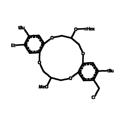 CCCCCCOC1COc2cc(C(C)(C)C)c(CC)cc2OCC(OC)COc2cc(CCl)c(C(C)(C)C)cc2OC1